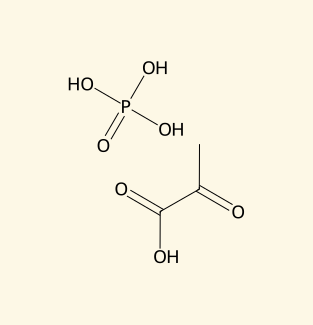 CC(=O)C(=O)O.O=P(O)(O)O